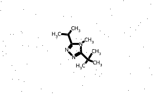 CC(C)c1nnc(C(C)(C)C)n1C